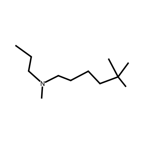 CCCN(C)CCCCC(C)(C)C